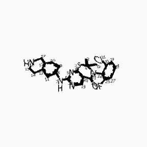 CC1(C)Sc2nc(Nc3ccc4c(c3)CCNC4)ncc2C(=O)N1c1c(F)cccc1Cl